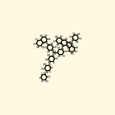 c1ccc(-c2ccc(-c3ccc(N(c4ccc(-c5cccc6ccccc56)cc4)c4cccc(-c5c6ccccc6cc6c5c5ccccc5n6-c5ccccc5)c4)cc3)cc2)cc1